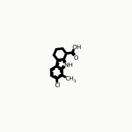 Cc1c(Cl)ccc2c3c([nH]c12)C(C(=O)O)CCC3